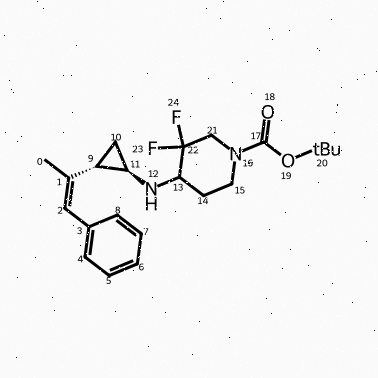 CC(=Cc1ccccc1)[C@@H]1C[C@H]1NC1CCN(C(=O)OC(C)(C)C)CC1(F)F